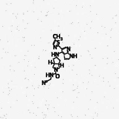 Cc1cnc(-c2cnc3[nH]ccc3c2NC2C[C@@H]3CN(C(=O)NCC#N)C[C@@H]3C2)s1